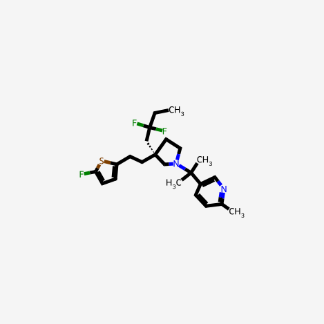 CCC(F)(F)C[C@]1(CCc2ccc(F)s2)CCN(C(C)(C)c2ccc(C)nc2)C1